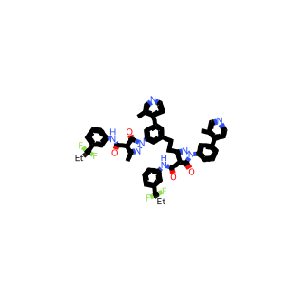 CCC(F)(F)c1cccc(NC(=O)C2C(=O)N(c3cc(CCC4=NN(c5cccc(-c6ccncc6C)c5)C(=O)C4C(=O)Nc4cccc(C(F)(F)CC)c4)cc(-c4ccncc4C)c3)N=C2C)c1